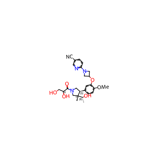 COc1ccc([C@@H]2CN(C(=O)[C@@H](O)CO)C[C@@]2(C)[C@@H](C)O)cc1OC1CN(c2ccc(C#N)cn2)C1